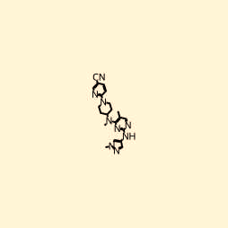 Cc1cnc(Nc2cnn(C)c2)nc1N(C)C1CCN(c2ccc(C#N)cn2)CC1